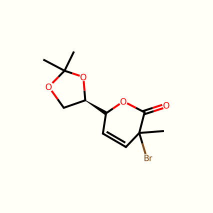 CC1(C)OC[C@H](C2C=CC(C)(Br)C(=O)O2)O1